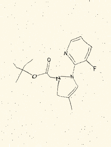 CC1=CN(c2ncccc2F)N(C(=O)OC(C)(C)C)C1